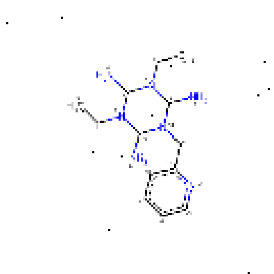 CCN1C(N)N(CC)C(N)N(Cc2ccccn2)C1N